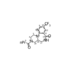 CCCC(=O)N1CCN2c3ncc(C(F)(F)F)cc3C(=O)NCC2C1